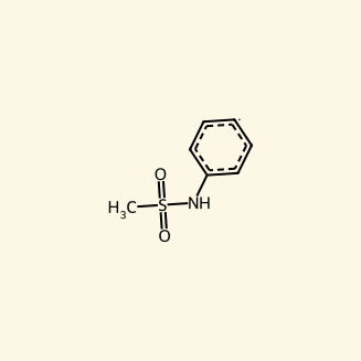 CS(=O)(=O)Nc1cc[c]cc1